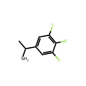 CC([SiH3])c1cc(F)c(F)c(F)c1